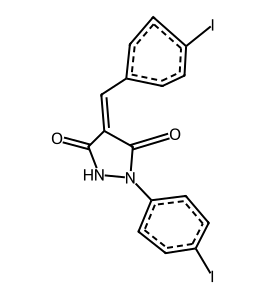 O=C1NN(c2ccc(I)cc2)C(=O)C1=Cc1ccc(I)cc1